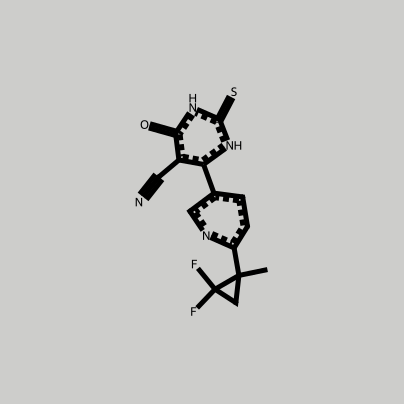 CC1(c2ccc(-c3[nH]c(=S)[nH]c(=O)c3C#N)cn2)CC1(F)F